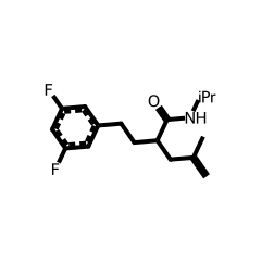 C=C(C)CC(CCc1cc(F)cc(F)c1)C(=O)NC(C)C